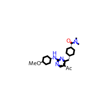 CO[C@H]1CC[C@H](Nc2ncc(C(C)=O)c(C[C@H]3CC[C@@H](C(=O)N(C)C)CC3)n2)CC1